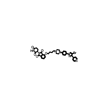 O=C1CC[C@H](N2C(=O)c3cccc(OCCCCN4CCN(c5ccc(-n6cc(Br)c(-c7ccncc7)n6)cc5)CC4)c3C2=O)C(=O)N1